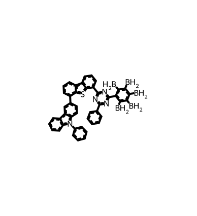 Bc1c(B)c(B)c(-c2nc(-c3ccccc3)nc(-c3cccc4c3sc3c(-c5ccc6c(c5)c5ccccc5n6-c5ccccc5)cccc34)n2)c(B)c1B